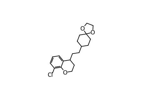 Clc1cccc2c1OCCC2CCC1CCC2(CC1)OCCO2